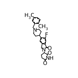 Cc1ccc(C)c(CN2CCC(c3cc4c(cc3F)C(=O)N(C3CCC(=O)NC3=O)C4)CC2)c1